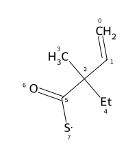 C=CC(C)(CC)C(=O)[S]